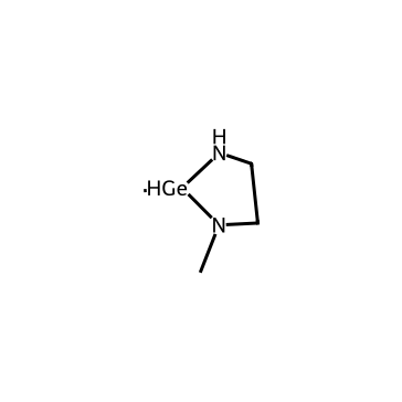 C[N]1CC[NH][GeH]1[CH3]